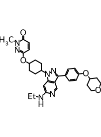 CCNc1cc2c(cn1)c(-c1ccc(OC3CCOCC3)cc1)nn2C1CCC(Oc2ccc(=O)n(C)n2)CC1